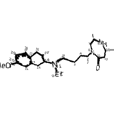 CCN(CCCCN1CCNCCC1=O)C1CCc2ccc(OC)cc2C1